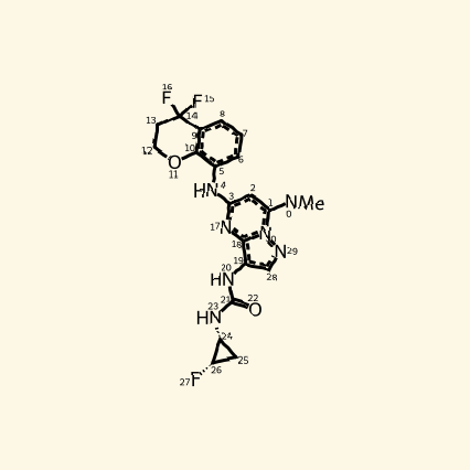 CNc1cc(Nc2cccc3c2OCCC3(F)F)nc2c(NC(=O)N[C@@H]3C[C@@H]3F)cnn12